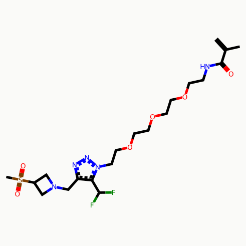 C=C(C)C(=O)NCCOCCOCCOCCn1nnc(CN2CC(S(C)(=O)=O)C2)c1C(F)F